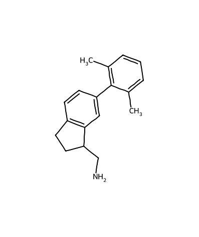 Cc1cccc(C)c1-c1ccc2c(c1)C(CN)CC2